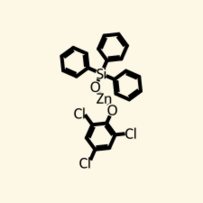 Clc1cc(Cl)c([O][Zn][O][Si](c2ccccc2)(c2ccccc2)c2ccccc2)c(Cl)c1